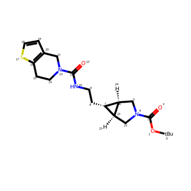 CC(C)(C)OC(=O)N1C[C@@H]2[C@@H](CCNC(=O)N3CCc4sccc4C3)[C@@H]2C1